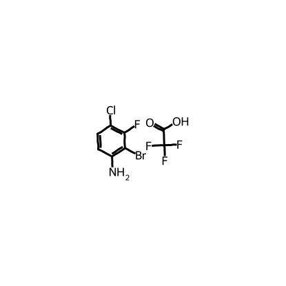 Nc1ccc(Cl)c(F)c1Br.O=C(O)C(F)(F)F